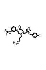 CCCCC1CN(c2cccc(OC(F)(F)F)c2)C(=O)CN1Cc1cncn1Cc1ccc(Cl)cc1